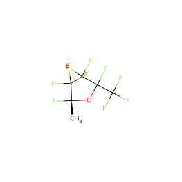 C[C@](F)(OC(F)(C(F)(F)F)C(F)(F)F)C(F)(F)F